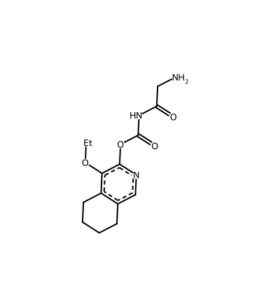 CCOc1c(OC(=O)NC(=O)CN)ncc2c1CCCC2